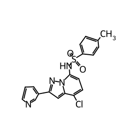 Cc1ccc(S(=O)(=O)Nc2ccc(Cl)c3cc(-c4cccnc4)nn23)cc1